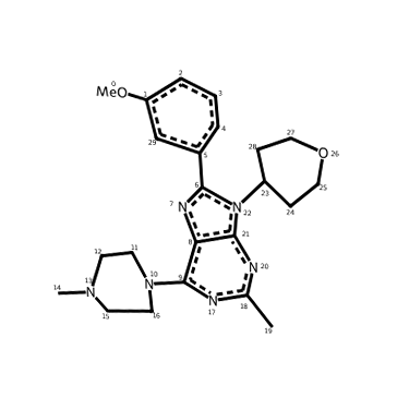 COc1cccc(-c2nc3c(N4CCN(C)CC4)nc(C)nc3n2C2CCOCC2)c1